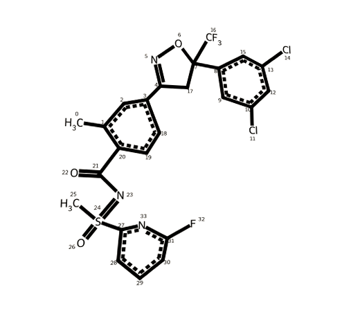 Cc1cc(C2=NOC(c3cc(Cl)cc(Cl)c3)(C(F)(F)F)C2)ccc1C(=O)N=S(C)(=O)c1cccc(F)n1